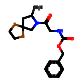 O=C(NCC(=O)N1CC2(CC1C(=O)O)SCCS2)OCc1ccccc1